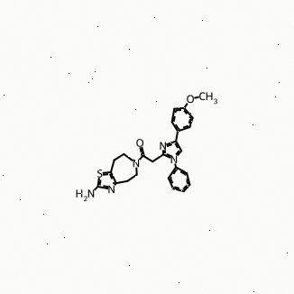 COc1ccc(-c2cn(-c3ccccc3)c(CC(=O)N3CCc4nc(N)sc4CC3)n2)cc1